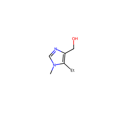 CCc1c(CO)ncn1C